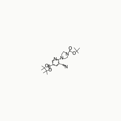 CC(C)(C)OC(=O)N1CCN(c2ncc(B3OC(C)(C)C(C)(C)O3)cc2C#N)CC1